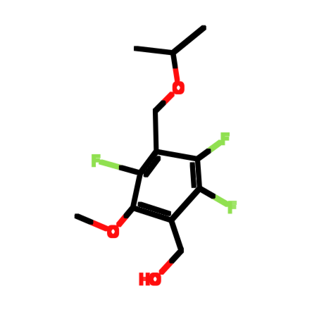 COc1c(F)c(COC(C)C)c(F)c(F)c1CO